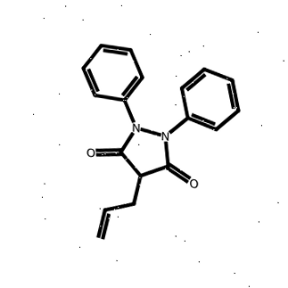 C=CCC1C(=O)N(c2ccccc2)N(c2ccccc2)C1=O